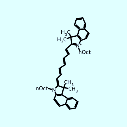 CCCCCCCCN1/C(=C/C=C/C=C/C=C/C2=[N+](CCCCCCCC)c3ccc4ccccc4c3C2(C)C)C(C)(C)c2c1ccc1ccccc21